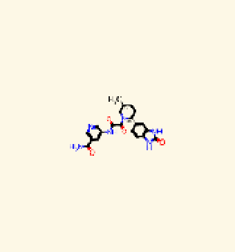 C[C@H]1CC[C@H](c2ccc3[nH]c(=O)[nH]c3c2)N(C(=O)C(=O)Nc2cncc(C(N)=O)c2)C1